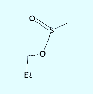 CCCOS(C)=O